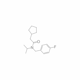 CC(C)N(Cc1ccc(F)cc1)C(=O)CC1CCCC1